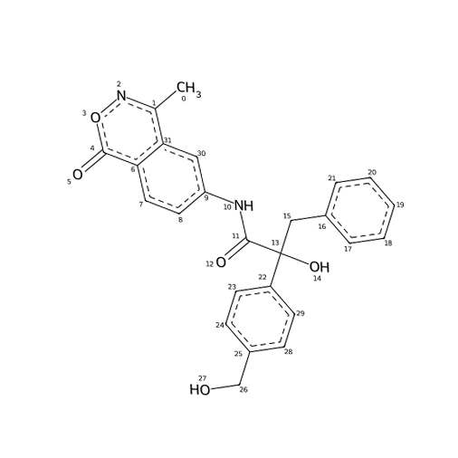 Cc1noc(=O)c2ccc(NC(=O)C(O)(Cc3ccccc3)c3ccc(CO)cc3)cc12